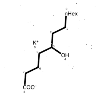 CCCCCCCCC(O)CCCC(=O)[O-].[K+]